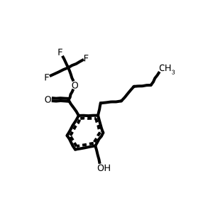 CCCCCc1cc(O)ccc1C(=O)OC(F)(F)F